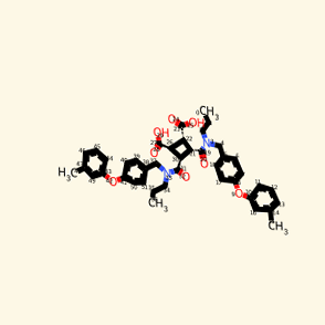 CCCN(Cc1ccc(Oc2cccc(C)c2)cc1)C(=O)[C@H]1[C@@H](C(=O)O)[C@H](C(=O)O)[C@@H]1C(=O)N(CCC)Cc1ccc(Oc2cccc(C)c2)cc1